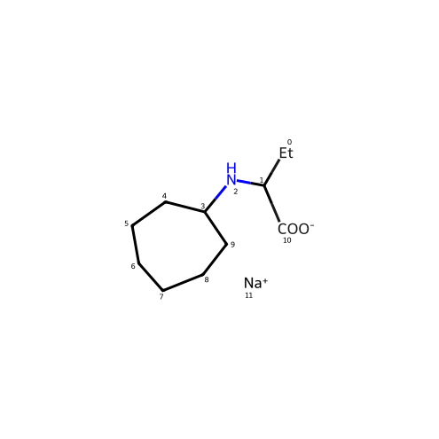 CCC(NC1CCCCCC1)C(=O)[O-].[Na+]